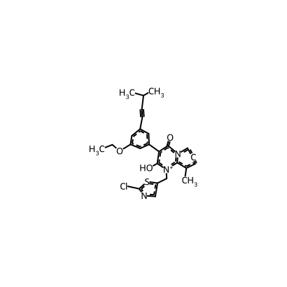 CCOc1cc(C#CC(C)C)cc(-c2c(O)[n+](Cc3cnc(Cl)s3)c3c(C)cccn3c2=O)c1